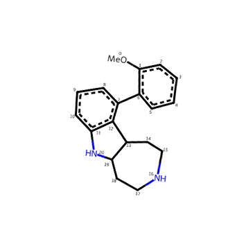 COc1ccccc1-c1cccc2c1C1CCNCCC1N2